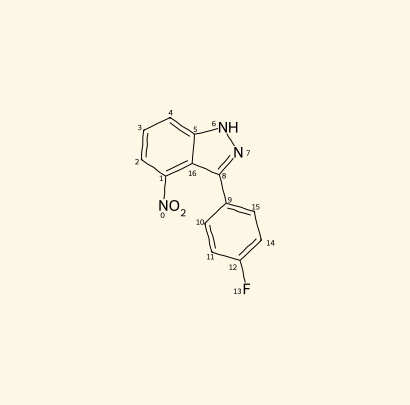 O=[N+]([O-])c1cccc2[nH]nc(-c3ccc(F)cc3)c12